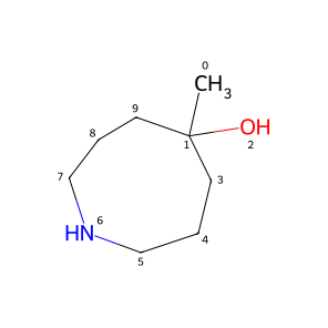 CC1(O)CCCNCCC1